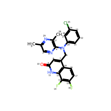 Cc1cnc(N(Cc2cc(=O)[nH]c3c(F)c(F)ccc23)c2cccc(Cl)c2)c(C)n1